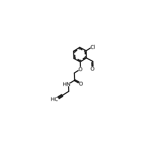 C#CCNC(=O)COc1cccc(Cl)c1C=O